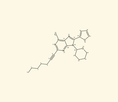 CCCCCC#Cc1nc(Cl)c2nc(-c3ccco3)n(C3CCCCO3)c2n1